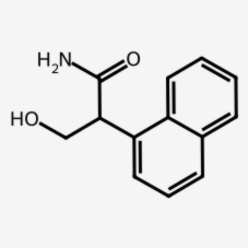 NC(=O)C(CO)c1cccc2ccccc12